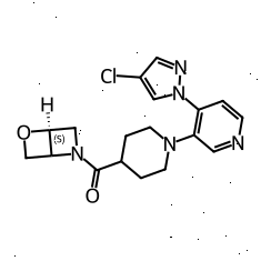 O=C(C1CCN(c2cnccc2-n2cc(Cl)cn2)CC1)N1C[C@@H]2OCC21